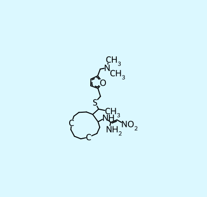 CC(SCc1ccc(CN(C)C)o1)C1CCCCCCCCCCC1NC(N)=C[N+](=O)[O-]